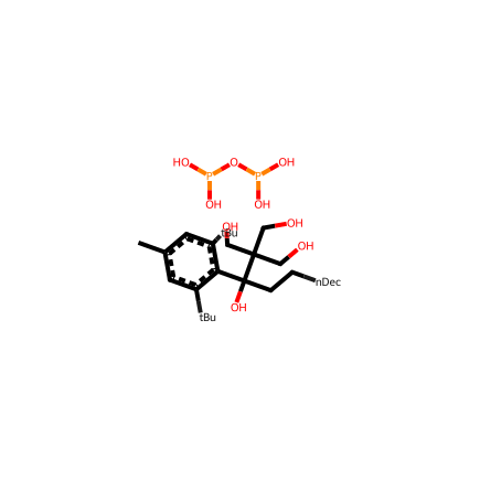 CCCCCCCCCCCCC(O)(c1c(C(C)(C)C)cc(C)cc1C(C)(C)C)C(CO)(CO)CO.OP(O)OP(O)O